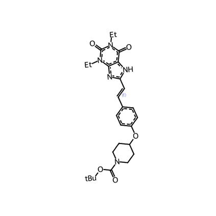 CCn1c(=O)c2[nH]c(/C=C/c3ccc(OC4CCN(C(=O)OC(C)(C)C)CC4)cc3)nc2n(CC)c1=O